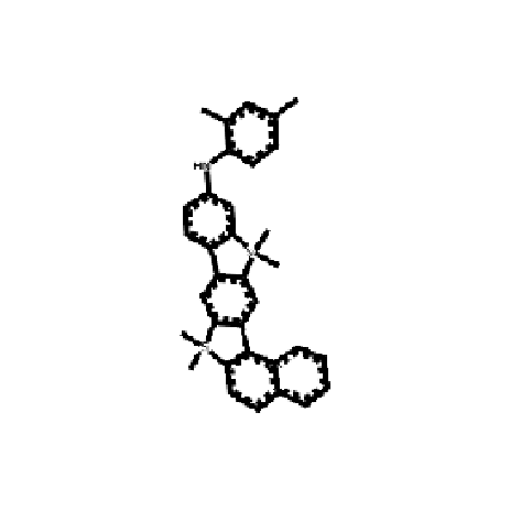 Cc1ccc(Nc2ccc3c(c2)[Si](C)(C)c2cc4c(cc2-3)[Si](C)(C)c2ccc3ccccc3c2-4)c(C)c1